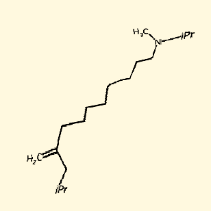 C=C(CCCCCCCCN(C)C(C)C)CC(C)C